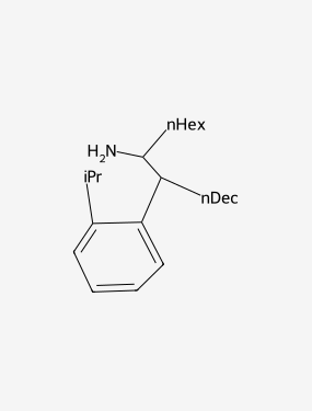 CCCCCCCCCCC(c1ccccc1C(C)C)C(N)CCCCCC